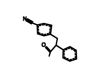 CC(=O)C(Cc1ccc(C#N)cc1)c1ccccc1